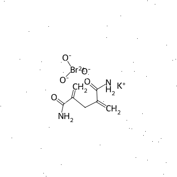 C=C(CC(=C)C(N)=O)C(N)=O.[K+].[O-][Br+2]([O-])[O-]